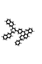 c1ccc(-c2ccc3c(ccc4c5ccccc5nc(-c5ccc(-c6cc(-c7ccc8ccccc8c7)nc(-c7ccc8ccccc8c7)n6)cc5)c34)n2)cc1